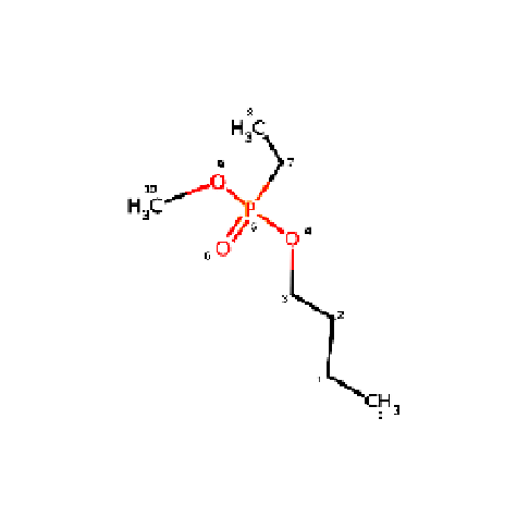 CCCCOP(=O)(CC)OC